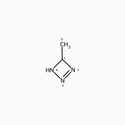 CC1N=NN1